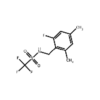 Cc1cc(C)c(CNS(=O)(=O)C(F)(F)F)c(F)c1